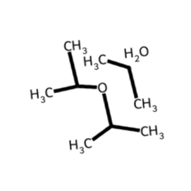 CC(C)OC(C)C.CCC.O